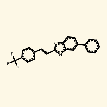 FC(F)(F)c1ccc(/C=C/c2nc3cc(-c4ccccc4)ccc3o2)cc1